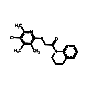 Cc1nc(SCC(=O)N2CCCc3ccccc32)c(C)c(C)c1Cl